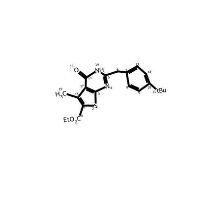 CCOC(=O)c1sc2nc(Cc3ccc(C(C)(C)C)cc3)[nH]c(=O)c2c1C